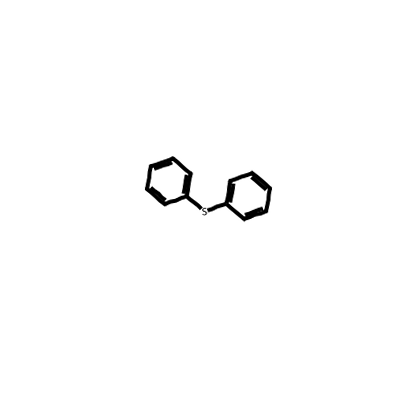 [c]1cc[c]c(Sc2ccccc2)c1